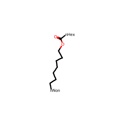 [CH2]CCCCCC(=O)OCCCCCCCCCCCCCCCC